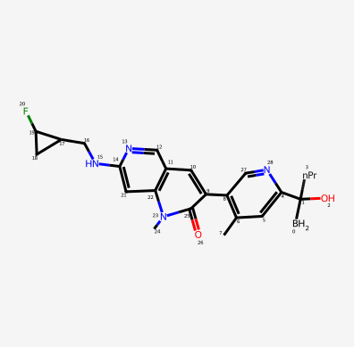 BC(O)(CCC)c1cc(C)c(-c2cc3cnc(NCC4CC4F)cc3n(C)c2=O)cn1